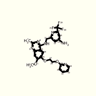 COc1cc2nc(C)nc(NCc3cc(N)cc(C(F)(F)F)n3)c2cc1OCCOc1ccccn1